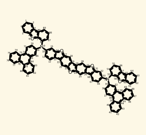 c1ccc2c(c1)oc1c(N(c3ccc4c(c3)oc3cc5c(cc34)oc3cc4c(cc35)oc3cc(N(c5ccc6c7ccccc7c7ccccc7c6c5)c5cccc6c5oc5ccccc56)ccc34)c3ccc4c5ccccc5c5ccccc5c4c3)cccc12